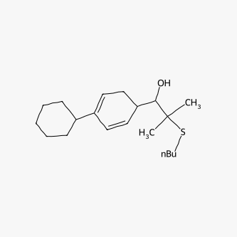 CCCCSC(C)(C)C(O)C1C=CC(C2CCCCC2)=CC1